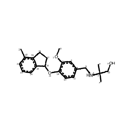 COc1cc(CNC(C)(C)CO)ccc1OC1CCc2c(C)cccc21